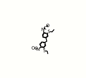 CCSc1cc(Cc2ccc(N=C=O)c(SCC)c2)ccc1N=C=O